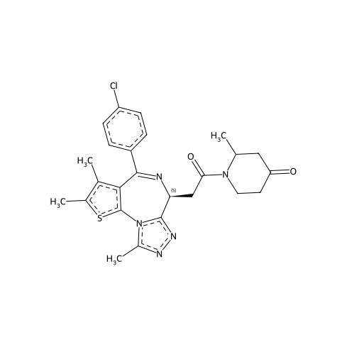 Cc1sc2c(c1C)C(c1ccc(Cl)cc1)=N[C@@H](CC(=O)N1CCC(=O)CC1C)c1nnc(C)n1-2